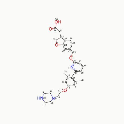 Cc1cc(OCCN2CCNCC2)cc(C)c1-c1cccc(OCc2ccc3c(c2)OCC3CC(=O)O)n1